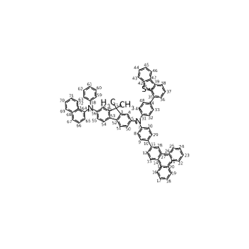 CC1(C)c2cc(N(c3ccc(-c4ccc5c6ccccc6c6ccccc6c5c4)cc3)c3ccc(-c4cccc5c4sc4ccccc45)cc3)ccc2-c2ccc(N(c3ccccc3)c3cccc4ccccc34)cc21